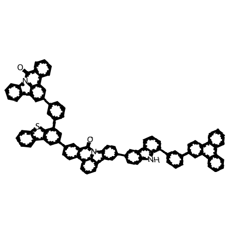 O=c1c2cc(-c3cc(-c4cccc(-c5cc6c7ccccc7c(=O)n7c8ccccc8c(c5)c67)c4)c4sc5ccccc5c4c3)ccc2c2cccc3c4cc(-c5ccc6[nH]c7c(-c8cccc(-c9ccc%10c%11ccccc%11c%11ccccc%11c%10c9)c8)cccc7c6c5)ccc4n1c23